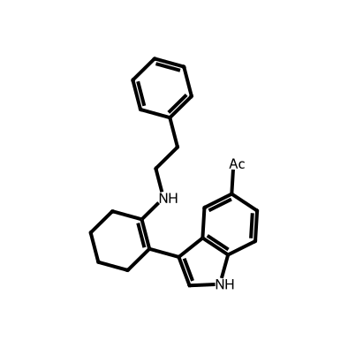 CC(=O)c1ccc2[nH]cc(C3=C(NCCc4ccccc4)CCCC3)c2c1